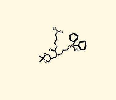 CCN(CC)CCCSC(=O)N(CCCO[Si](c1ccccc1)(c1ccccc1)C(C)(C)C)CC1COC(C)(C)OC1